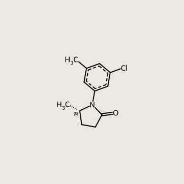 Cc1cc(Cl)cc(N2C(=O)CC[C@@H]2C)c1